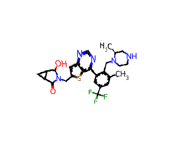 Cc1cc(C(F)(F)F)cc(-c2ncnc3cc(CN4C(=O)C5CC5C4O)sc23)c1CN1CCNC[C@@H]1C